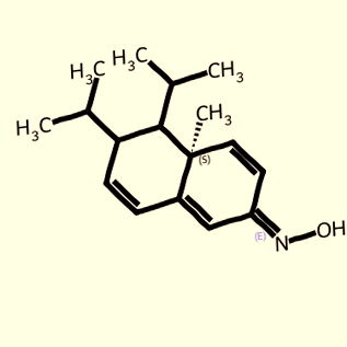 CC(C)C1C=CC2=C/C(=N/O)C=C[C@]2(C)C1C(C)C